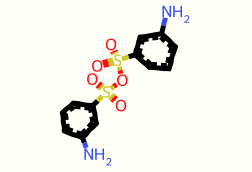 Nc1cccc(S(=O)(=O)OS(=O)(=O)c2cccc(N)c2)c1